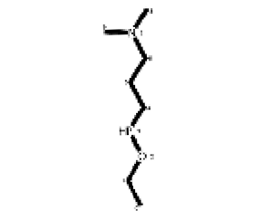 CCOPCCCN(C)C